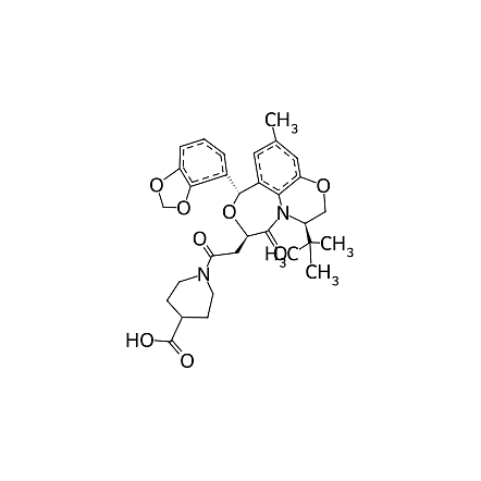 Cc1cc2c3c(c1)[C@@H](c1cccc4c1OCO4)O[C@H](CC(=O)N1CCC(C(=O)O)CC1)C(=O)N3[C@H](C(C)(C)C)CO2